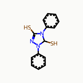 SC1=NN(c2ccccc2)C(S)N1c1ccccc1